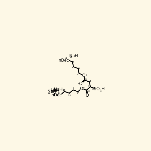 CCCCCCCCCCCCCCOC(=O)CC(C(=O)OCCCCCCCCCCCCCC)S(=O)(=O)O.[NaH].[NaH].[NaH].[NaH]